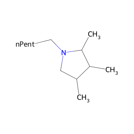 CCCCCCN1CC(C)C(C)C1C